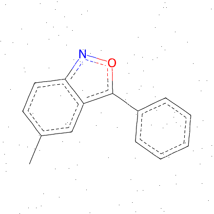 Cc1ccc2noc(-c3ccccc3)c2c1